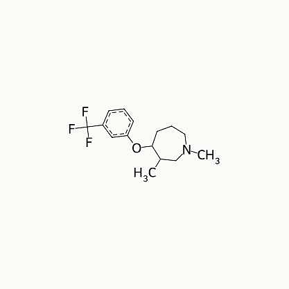 CC1CN(C)CCCC1Oc1cccc(C(F)(F)F)c1